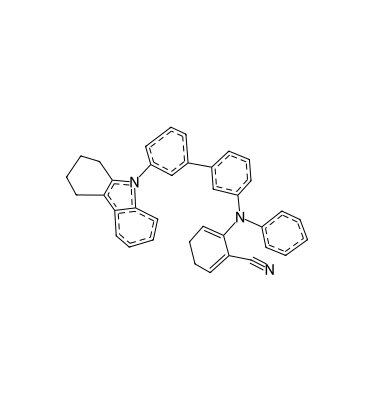 N#CC1=CCCC=C1N(c1ccccc1)c1cccc(-c2cccc(-n3c4c(c5ccccc53)CCCC4)c2)c1